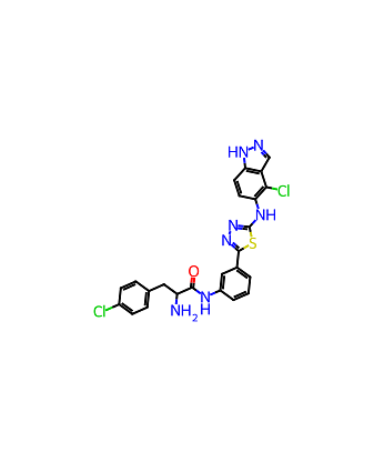 NC(Cc1ccc(Cl)cc1)C(=O)Nc1cccc(-c2nnc(Nc3ccc4[nH]ncc4c3Cl)s2)c1